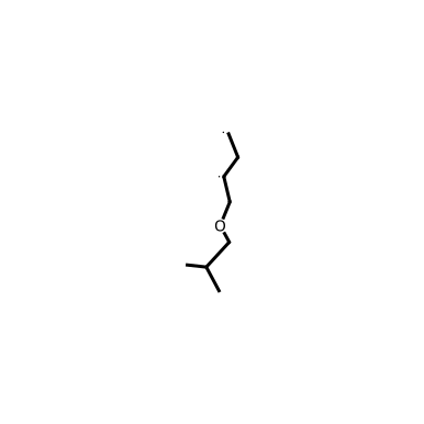 [CH2]C[CH]COCC(C)C